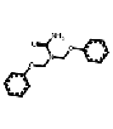 NC(=O)N(COc1ccccc1)COc1ccccc1